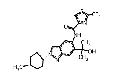 CC(C)(O)c1cc2nn([C@H]3CC[C@H](C)CC3)cc2cc1NC(=O)c1csc(C(F)(F)F)n1